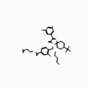 CCCCC[C@H](c1ccc(C(=O)NCCC(=O)O)cc1C)N1C(=O)C(c2cc(Cl)cc(Cl)c2)=NC12CCC(C(C)(C)C)CC2